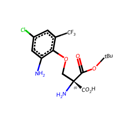 CC(C)(C)OC(=O)[C@](N)(COc1c(N)cc(Cl)cc1C(F)(F)F)C(=O)O